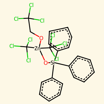 ClC(Cl)(Cl)C[O][Zn]([O][Si](c1ccccc1)(c1ccccc1)c1ccccc1)([C](Cl)(Cl)Cl)[C](Cl)(Cl)Cl